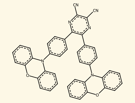 N#Cc1nc(-c2ccc(N3c4ccccc4Oc4ccccc43)cc2)c(-c2ccc(N3c4ccccc4Oc4ccccc43)cc2)nc1C#N